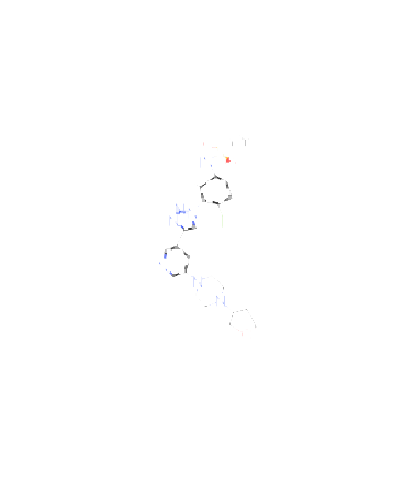 CCCS(=O)(=O)Nc1ccc(F)c(-n2cc(-c3cncc(N4CCN(C5CCOC5)CC4)c3)nn2)c1F